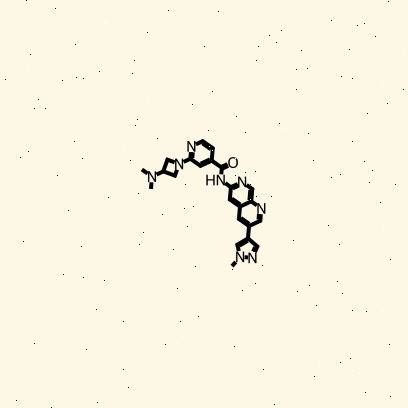 CN(C)C1CN(c2cc(C(=O)Nc3cc4cc(-c5cnn(C)c5)cnc4cn3)ccn2)C1